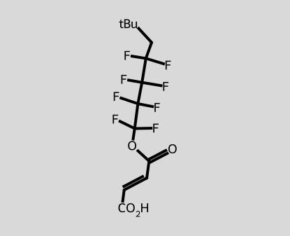 CC(C)(C)CC(F)(F)C(F)(F)C(F)(F)C(F)(F)OC(=O)/C=C/C(=O)O